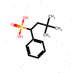 CC(C)(C)CC(c1ccccc1)P(=O)(O)O